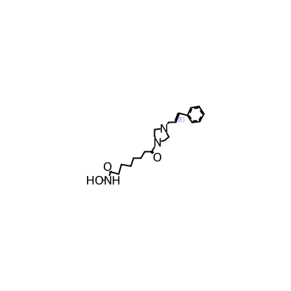 O=C(CCCCCCC(=O)N1CCN(C/C=C/c2ccccc2)CC1)NO